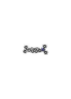 CCCC1(CCC)c2cc(C3=CC=C(C(c4ccccc4)c4ccccc4)CC3)ccc2C2C=CC(c3ccc(-c4cc(-c5ccccc5)cc(-c5ccccc5)n4)cc3)=CC21